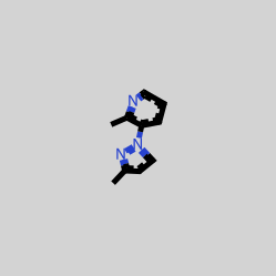 Cc1ccn(-c2cccnc2C)n1